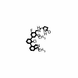 COc1cc(-c2cccc(-c3cccc4c3cnn4C)c2Cl)cc(F)c1CNC[C@@H]1CCC(=O)N1